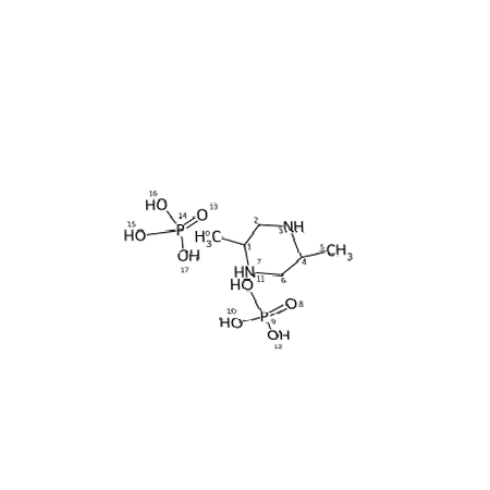 CC1CNC(C)CN1.O=P(O)(O)O.O=P(O)(O)O